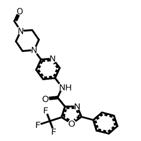 O=CN1CCN(c2ccc(NC(=O)c3nc(-c4ccccc4)oc3C(F)(F)F)cn2)CC1